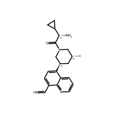 C[C@@H]1C[C@@H](c2ccc(C=N)c3ncccc23)CN(C(=O)[C@@H](N)C2CC2)C1